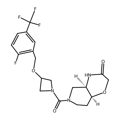 O=C1CO[C@H]2CCN(C(=O)N3CC(OCc4cc(C(F)(F)F)ccc4F)C3)C[C@H]2N1